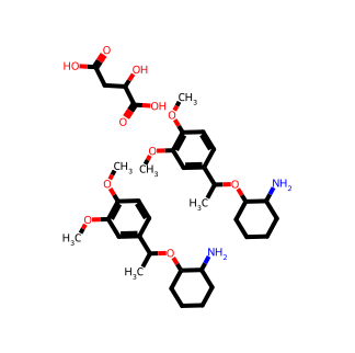 COc1ccc(C(C)OC2CCCCC2N)cc1OC.COc1ccc(C(C)OC2CCCCC2N)cc1OC.O=C(O)CC(O)C(=O)O